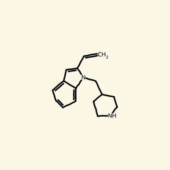 C=Cc1cc2ccccc2n1CC1CCNCC1